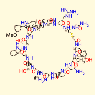 CCCC[C@H]1C(=O)N(C)[C@@H](CCCC)C(=O)NC(CCCNC(=N)N)C(=O)N[C@H](C(=O)NCC(N)=O)CSCC(=O)N[C@@H](Cc2ccc(O)cc2)C(=O)N(C)[C@@H](C)C(=O)NC(CC(N)=O)C(=O)N2CCC[C@H]2C(=O)N[C@@H](CN)C(=O)N[C@@H](CC(C)C)C(=O)N2C[C@H](O)C[C@H]2C(=O)N[C@@H](Cc2c[nH]c3ccccc23)C(=O)N[C@@H](CO)C(=O)N[C@@H](Cc2c(-c3cccc(OC)c3)[nH]c3ccccc23)C(=O)N1C